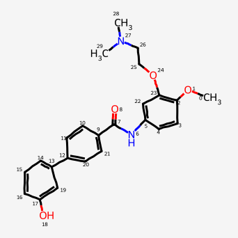 COc1ccc(NC(=O)c2ccc(-c3cccc(O)c3)cc2)cc1OCCN(C)C